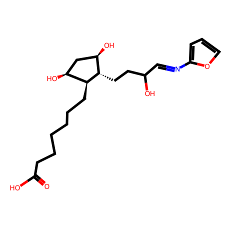 O=C(O)CCCCCC[C@@H]1[C@@H](CCC(O)/C=N/c2ccco2)[C@H](O)C[C@@H]1O